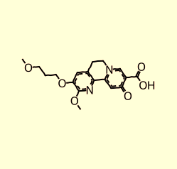 COCCCOc1cc2c(nc1OC)-c1cc(=O)c(C(=O)O)cn1CC2